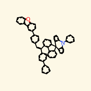 C(=C(\c1ccc(-c2ccccc2)cc1)c1cccc2c1-c1ccccc1C21c2ccccc2N(c2ccccc2)c2ccccc21)/c1ccc(-c2ccc3oc4ccccc4c3c2)cc1